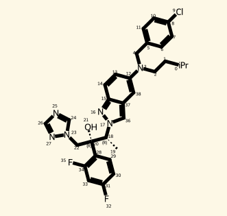 CC(C)CCN(Cc1ccc(Cl)cc1)c1ccc2nn([C@H](C)[C@](O)(Cn3cncn3)c3ccc(F)cc3F)cc2c1